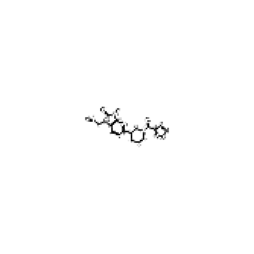 Cn1c(=O)n(CC(C)(C)C)c2ccc(C3CCCN(C(=O)c4cnon4)C3)nc21